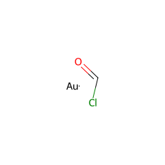 O=CCl.[Au]